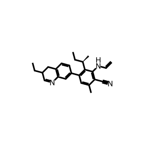 C=CNc1c(C#N)c(C)cc(-c2ccc3c(c2)N=CC(CC)C3)c1[C@H](C)CC